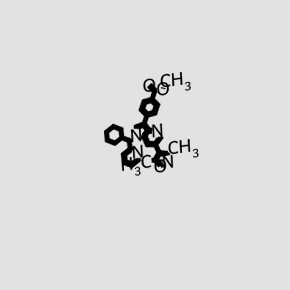 COC(=O)c1ccc(-c2cn(C(c3ccccn3)C3CCCCC3)c3cc(-c4c(C)noc4C)cnc23)cc1